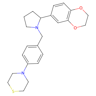 c1cc(N2CCSCC2)ccc1CN1CCCC1c1ccc2c(c1)OCCO2